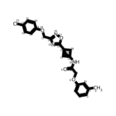 Cc1cccc(OCC(=O)NC23CC(c4nc(COc5ccc(Cl)cc5)no4)(C2)C3)c1